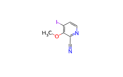 COc1c(I)ccnc1C#N